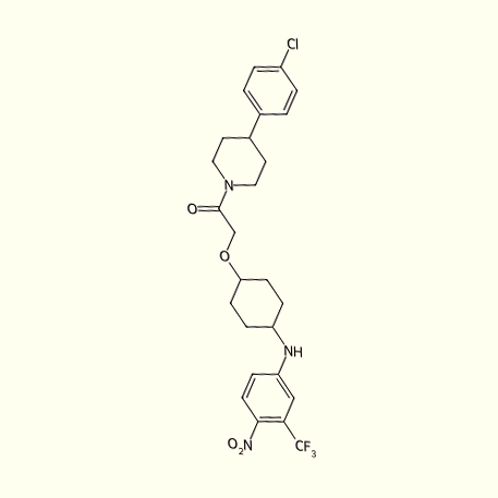 O=C(COC1CCC(Nc2ccc([N+](=O)[O-])c(C(F)(F)F)c2)CC1)N1CCC(c2ccc(Cl)cc2)CC1